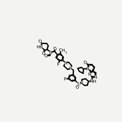 Cc1cc(N2CCN(Cc3cc(F)cc([S+]([O-])N4CCC(Nc5ncc6ccc(=O)n(C7CCCC7)c6n5)CC4)c3)CC2)c(F)cc1C(=O)N(C=O)C1CCC(=O)NC1=O